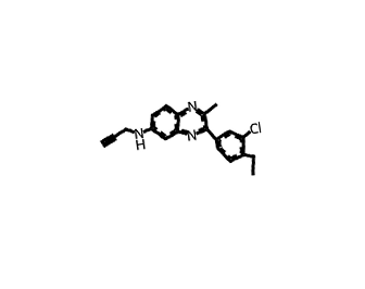 C#CCNc1ccc2nc(C)c(-c3ccc(CC)c(Cl)c3)nc2c1